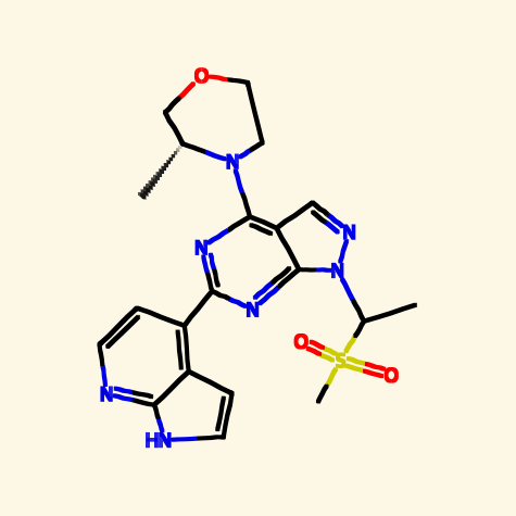 CC(n1ncc2c(N3CCOC[C@H]3C)nc(-c3ccnc4[nH]ccc34)nc21)S(C)(=O)=O